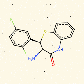 N[C@@H]1C(=O)Nc2ccccc2S[C@@H]1c1cc(F)ccc1F